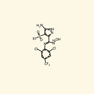 CCS(=O)(=O)c1c(C(=Nc2c(Cl)cc(C(F)(F)F)cc2Cl)NO)n[nH]c1N